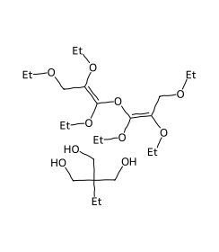 CCC(CO)(CO)CO.CCOCC(OCC)=C(OCC)OC(OCC)=C(COCC)OCC